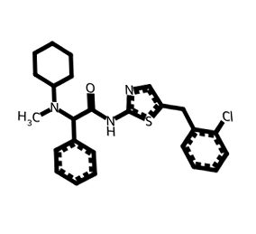 CN(C1CCCCC1)C(C(=O)Nc1ncc(Cc2ccccc2Cl)s1)c1ccccc1